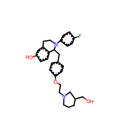 OCC1CCCN(CCOc2ccc(CC3c4ccc(O)cc4CCN3c3ccc(F)cc3)cc2)C1